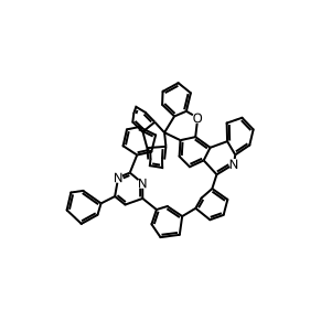 c1ccc(-c2cc(-c3cccc(-c4cccc(-c5nc6ccccc6c6c7c(ccc56)C5(c6ccccc6O7)c6ccccc6-c6ccccc65)c4)c3)nc(-c3ccccc3)n2)cc1